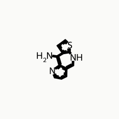 NC1=c2ncccc2=CNc2sccc21